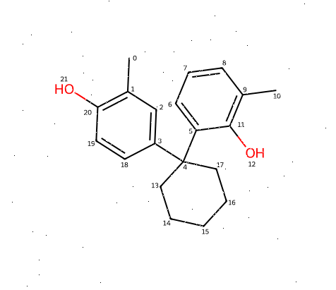 Cc1cc(C2(c3cccc(C)c3O)CCCCC2)ccc1O